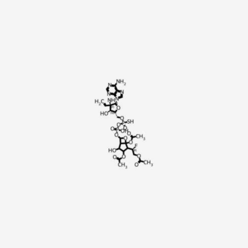 C=C[C@@]1(N)[C@H](O)[C@@H](COP(=O)(S)OP(=O)(O)OC2OC3(OC(C)=O)C2C(O)C(OC(C)=O)C3[C@@H](F)COC(C)=O)O[C@H]1n1cnc2c(N)ncnc21